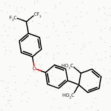 O=C(O)C1C=CC=CC1(C(=O)O)c1ccc(Oc2ccc(C(C(F)(F)F)C(F)(F)F)cc2)cc1